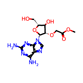 COC(=O)CO[C@H]1C(O)[C@@H](CO)O[C@H]1n1cnc2c(N)nc(N)nc21